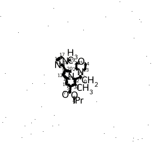 C=C(c1c(C)c(C(=O)OC(C)C)cc2cc(-c3nccn3C)cn12)N1CCOCC1